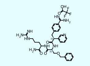 N=C(N)NCCCC(NC(=O)[C@H](COCc1ccccc1)NC(=O)[C@@H](Cc1ccc(C(=N)N)cc1)c1cccnc1)C(N)=O.O=C(O)C(F)(F)F